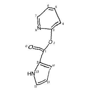 O=C(Oc1ccccn1)c1ccc[nH]1